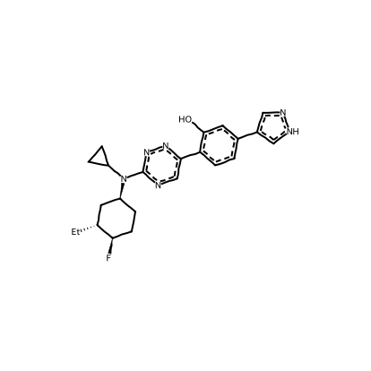 CC[C@@H]1C[C@@H](N(c2ncc(-c3ccc(-c4cn[nH]c4)cc3O)nn2)C2CC2)CC[C@H]1F